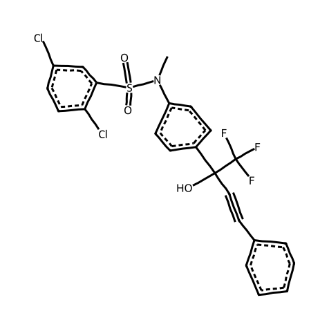 CN(c1ccc(C(O)(C#Cc2ccccc2)C(F)(F)F)cc1)S(=O)(=O)c1cc(Cl)ccc1Cl